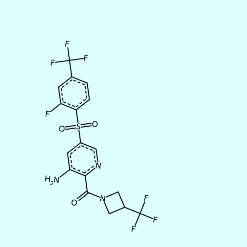 Nc1cc(S(=O)(=O)c2ccc(C(F)(F)F)cc2F)cnc1C(=O)N1CC(C(F)(F)F)C1